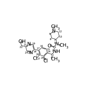 CC(NC(=O)N(C)C1CCN(C)CC1)c1ccc(-c2cnc(CO)cn2)c(Cl)c1Cl